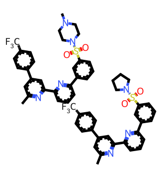 Cc1cc(-c2ccc(C(F)(F)F)cc2)cc(-c2cccc(-c3cccc(S(=O)(=O)N4CCCC4)c3)n2)n1.Cc1cc(-c2ccc(C(F)(F)F)cc2)cc(-c2cccc(-c3cccc(S(=O)(=O)N4CCN(C)CC4)c3)n2)n1